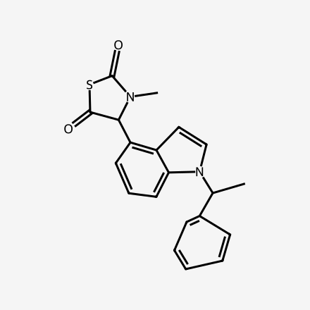 CC(c1ccccc1)n1ccc2c(C3C(=O)SC(=O)N3C)cccc21